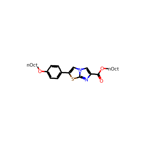 CCCCCCCCOC(=O)c1cn2cc(-c3ccc(OCCCCCCCC)cc3)sc2n1